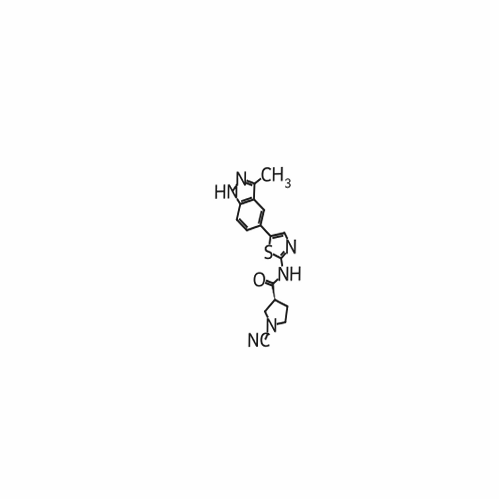 Cc1n[nH]c2ccc(-c3cnc(NC(=O)[C@H]4CCN(C#N)C4)s3)cc12